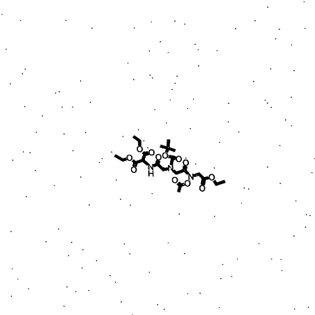 CCOC(=O)CN(OC(C)=O)C(=O)CN(CC(=O)NC(C(=O)OCC)C(=O)OCC)C(=O)OC(C)(C)C